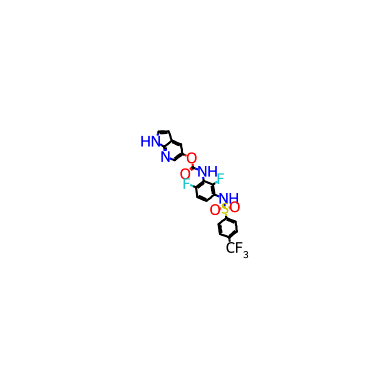 O=C(Nc1c(F)ccc(NS(=O)(=O)c2ccc(C(F)(F)F)cc2)c1F)Oc1cnc2[nH]ccc2c1